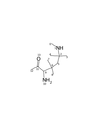 CNC(C)(C)CC(C)(C)C(N)C(C)=O